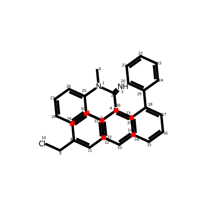 CN(C(=N)N(c1ccc(CCl)cc1)c1ccccc1-c1ccccc1)c1ccccc1-c1ccccc1